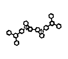 C1=CCC(C2C=C(C3=CCCC=C3)C=C(C3=CCC(n4c5c(c6cc(C7=CCC8C(=C7)C7=C(C=CCC7)N8C7C=CC(c8cc(C9=CCCC=C9)cc(C9CC=CCC9)c8)=CC7)ccc64)CCCC5)C=C3)C2)C=C1